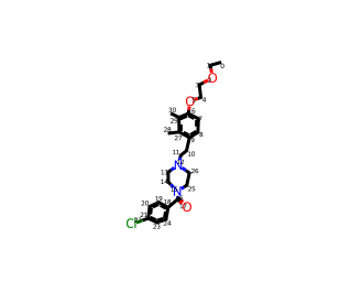 CCOCCOc1ccc(CCN2CCN(C(=O)c3ccc(Cl)cc3)CC2)c(C)c1C